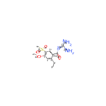 CCc1cc(OC)c(S(C)(=O)=O)cc1C(=O)N=C(N)N